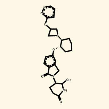 O=C1CCC(N2Cc3cc(O[C@H]4CCCC[C@@H]4N4CC(Oc5cccnn5)C4)ccc3C2=O)C(O)N1